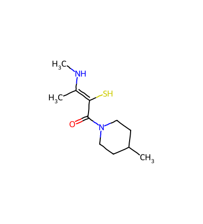 CN/C(C)=C(\S)C(=O)N1CCC(C)CC1